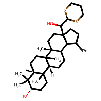 CC(C)C1CCC2(C(O)C3SCCCS3)CC[C@]3(C)C(CC[C@@H]4C5(C)CC[C@H](O)C(C)(C)[C@@H]5CCC43C)C12